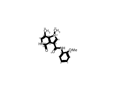 COc1ccccc1NC(=O)c1cn(C)c2c(C)c[nH]c(=O)c12